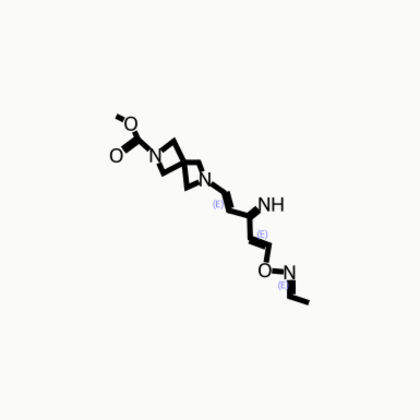 C/C=N/O/C=C/C(=N)/C=C/N1CC2(C1)CN(C(=O)OC)C2